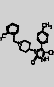 Cc1ccc(-c2c(C)[nH]c(=O)n2C2CCN(Cc3ccccc3C)CC2)cc1